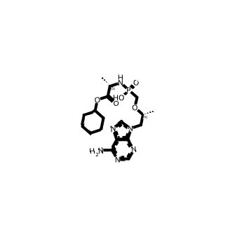 C[C@H](Cn1cnc2c(N)ncnc21)OCP(=O)(O)N[C@@H](C)C(=O)OC1CCCCC1